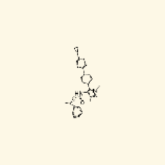 Cc1nn(C)c(-c2ccc(-c3ccc(C4CC4)cc3)cc2)c1NC(=O)OC(C)c1ccccc1